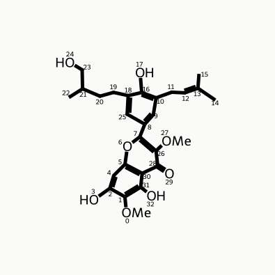 COc1c(O)cc2oc(-c3cc(CC=C(C)C)c(O)c(CCC(C)CO)c3)c(OC)c(=O)c2c1O